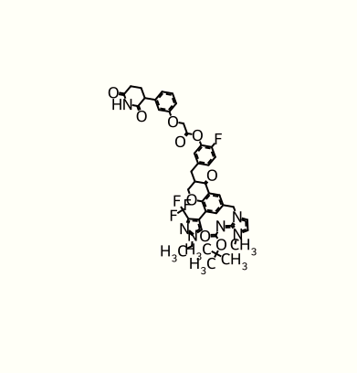 CCn1cc(-c2cc(Cn3ccn(C)c3=NC(=O)OC(C)(C)C)cc3c2OCC(Cc2ccc(F)c(OC(=O)COc4cccc(C5CCC(=O)NC5=O)c4)c2)C3=O)c(C(F)(F)F)n1